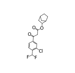 O=C(CC(=O)c1ccc(C(F)F)c(Cl)c1)OC1CC2CCC1C2